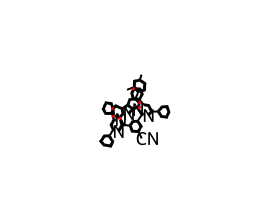 Cc1ccc(-c2ccc3c(c2)c2ccccc2n3-c2c(-c3nc(-c4ccccc4)cc(-c4ccccc4)n3)cc(C#N)cc2-c2nc(-c3ccccc3)cc(-c3ccccc3)n2)c(C)c1